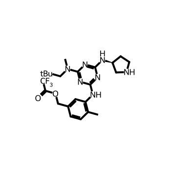 Cc1ccc(COC(=O)C(F)(F)F)cc1Nc1nc(N[C@H]2CCNC2)nc(N(C)CC(C)(C)C)n1